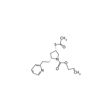 C=CCOC(=O)N1C[C@@H](SC(C)=O)C[C@H]1CCc1ccccn1